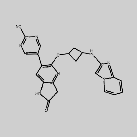 N#Cc1ncc(-c2cc3c(nc2OC2CC(Nc4cn5ccccc5n4)C2)CC(=O)N3)cn1